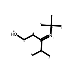 CC(C)/C(CCO)=N/C(C)(C)C